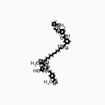 Cc1ncsc1-c1ccc(CNC(=O)[C@@H]2C[C@@H](O)CN2C(=O)[C@@H](NC(=O)CCCCCCCCCCNC(=O)c2cccc(C(=O)Nc3ccc4[nH]c(CN5CCC[C@@H]5C)nc4c3)c2)C(C)(C)C)cc1